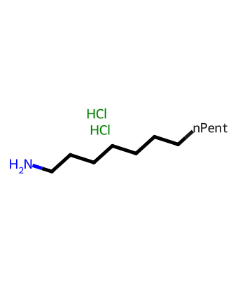 CCCCCCCCCCCCN.Cl.Cl